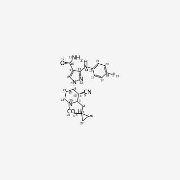 CC1(CC2[C@H](C#N)[C@@H](n3cc(C(N)=O)c(Nc4ccc(F)cc4)n3)CCN2C(=O)O)CC1